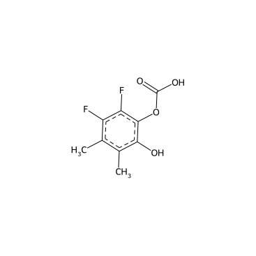 Cc1c(C)c(F)c(F)c(OC(=O)O)c1O